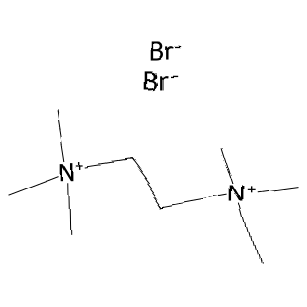 C[N+](C)(C)CC[N+](C)(C)C.[Br-].[Br-]